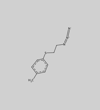 Cc1ccc(SCCN=[N+]=[N-])cc1